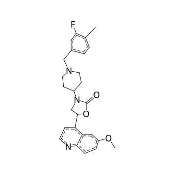 COc1ccc2nccc(C3CN(C4CCN(Cc5ccc(C)c(F)c5)CC4)C(=O)O3)c2c1